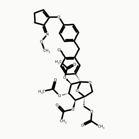 CO/N=C1\CCC=C1Oc1ccc(Cc2cc([C@]34OC[C@](COC(C)=O)(O3)[C@@H](OC(C)=O)[C@H](OC(C)=O)[C@H]4OC(C)=O)ccc2Cl)cc1